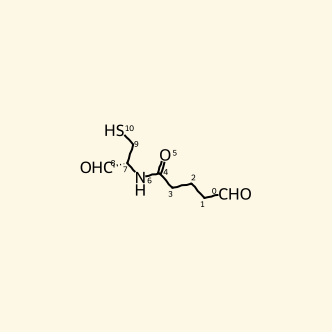 O=CCCCC(=O)N[C@H](C=O)CS